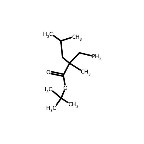 CC(C)CC(C)(CP)C(=O)OC(C)(C)C